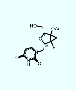 CC(=O)OC12CC1(F)[C@H](Cn1ccc(=O)[nH]c1=O)O[C@@H]2CO